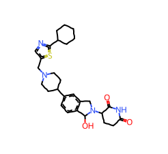 O=C1CCC(N2Cc3cc(C4CCN(Cc5cnc(C6CCCCC6)s5)CC4)ccc3C2O)C(=O)N1